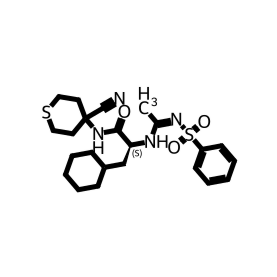 CC(=NS(=O)(=O)c1ccccc1)N[C@@H](CC1CCCCC1)C(=O)NC1(C#N)CCSCC1